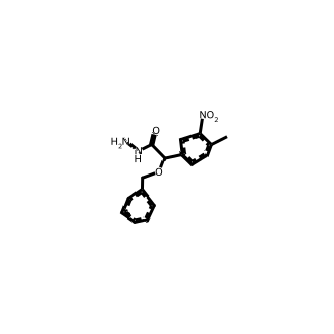 Cc1ccc(C(OCc2ccccc2)C(=O)NN)cc1[N+](=O)[O-]